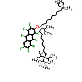 CC[Si](C)(CC)CCCCCCCC[Si](CCCCCCCC[Si](C(C)C)(C(C)C)C(C)C)(Oc1c(F)c(F)c2c(F)c3[c]c(F)c(F)c(F)c3c(F)c2c1F)C(C)C